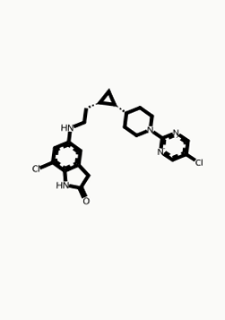 O=C1Cc2cc(NCC[C@@H]3C[C@@H]3C3CCN(c4ncc(Cl)cn4)CC3)cc(Cl)c2N1